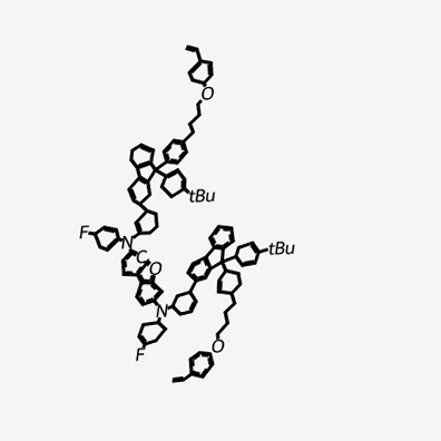 C=CC1=CCC(OCCCCc2ccc(C3(C4=CC=C(C(C)(C)C)CC4)C4=C(CCC=C4)C4=C3CC(C3C=C(N(C5=CCC(F)C=C5)c5ccc6c(c5)oc5cc(N(C7CC=C(F)CC7)C7CC=CC(c8ccc9c(c8)C(C8C=CC(C(C)(C)C)=CC8)(C8C=CC(CCCCOc%10ccc(C=C)cc%10)CC8)c8ccccc8-9)C7)ccc56)CCC3)C=C4)cc2)C=C1